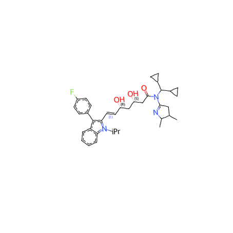 CC1CC(N(C(=O)C[C@@H](O)C[C@@H](O)/C=C/c2c(-c3ccc(F)cc3)c3ccccc3n2C(C)C)C(C2CC2)C2CC2)=NC1C